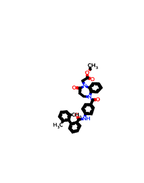 CCOC(=O)CN1C(=O)CCN(C(=O)c2ccc(NC(=O)c3ccccc3-c3c(C)cccc3C)cc2)c2ccccc21